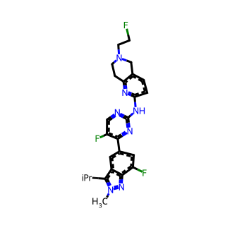 CC(C)c1c2cc(-c3nc(Nc4ccc5c(n4)CCN(CCF)C5)ncc3F)cc(F)c2nn1C